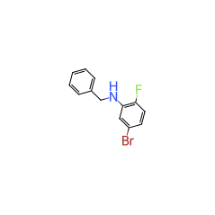 Fc1ccc(Br)cc1NCc1ccccc1